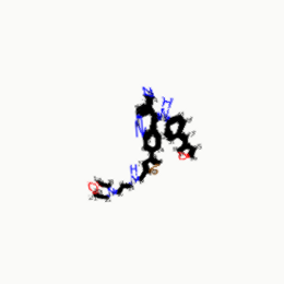 N#Cc1cnc2cc(-c3csc(CNCCCN4CCOCC4)c3)ccc2c1Nc1ccc(Cc2ccoc2)cc1